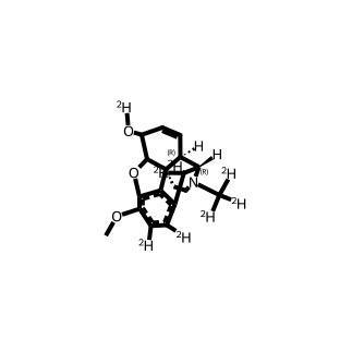 [2H]OC1C=C[C@H]2[C@@H]3N(C([2H])([2H])[2H])CC[C@@]24c2c(c(OC)c([2H])c([2H])c2C3([2H])[2H])OC14